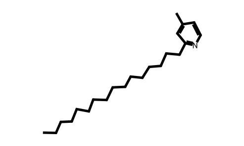 CCCCCCCCCCCCCCCCc1cc(C)ccn1